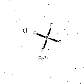 F[B-](F)(F)F.[Cl-].[Fe+2]